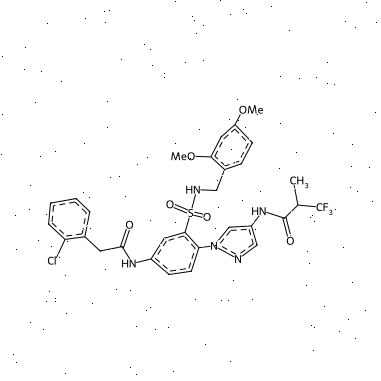 COc1ccc(CNS(=O)(=O)c2cc(NC(=O)Cc3ccccc3Cl)ccc2-n2cc(NC(=O)C(C)C(F)(F)F)cn2)c(OC)c1